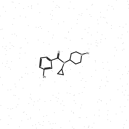 CC(=O)N1CCC(N(C(=O)c2cccc(C(C)C)c2)C2CC2)CC1